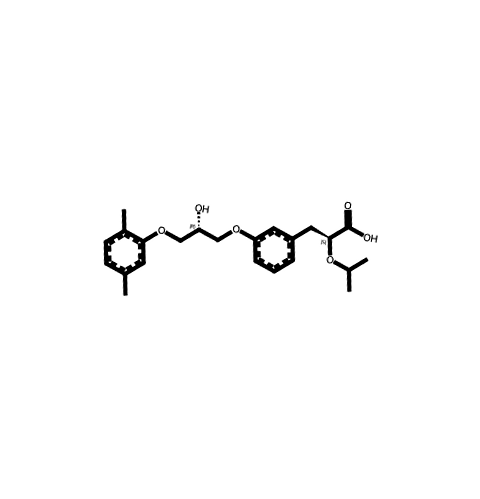 Cc1ccc(C)c(OC[C@H](O)COc2cccc(C[C@H](OC(C)C)C(=O)O)c2)c1